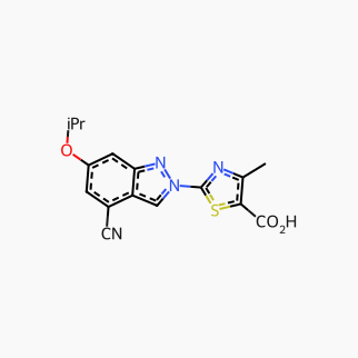 Cc1nc(-n2cc3c(C#N)cc(OC(C)C)cc3n2)sc1C(=O)O